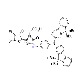 CCCCC1(CCCC)c2ccccc2-c2ccc(N(c3ccc(/C=c4/s/c(=C5\SC(=S)N(CC)C5=O)n(CC(=O)O)c4=O)cc3)c3ccc4c(c3)C(CCCC)(CCCC)c3ccccc3-4)cc21